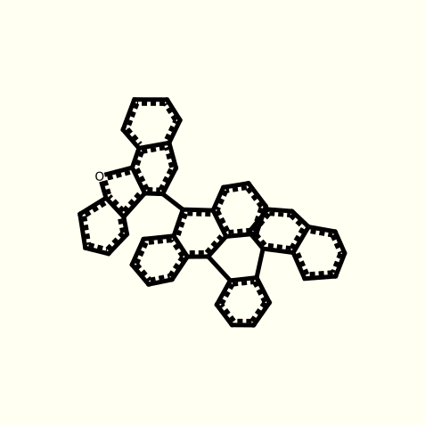 c1ccc(-c2c3ccccc3c(-c3cc4ccccc4c4oc5ccccc5c34)c3ccccc23)c(-c2cccc3ccccc23)c1